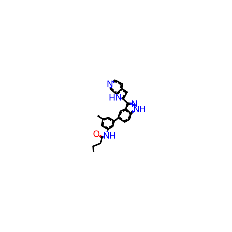 CCCC(=O)Nc1cc(C)cc(-c2ccc3[nH]nc(-c4cc5ccncc5[nH]4)c3c2)c1